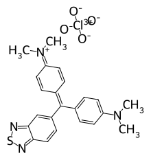 CN(C)c1ccc(C(=C2C=CC(=[N+](C)C)C=C2)c2ccc3nsnc3c2)cc1.[O-][Cl+3]([O-])([O-])[O-]